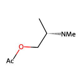 CN[C@@H](C)COC(C)=O